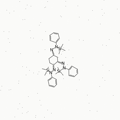 C[Si](C)(C)N(N=C1CCC(=NN(c2ccccc2)[Si](C)(C)C)C(=NN(c2ccccc2)[Si](C)(C)C)C1)c1ccccc1